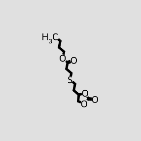 CCCCOC(=O)CCSCCC1COC(=O)O1